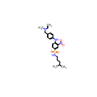 C=CN(C)Cc1ccc(Nc2ccc(S(=O)(=O)NCCCC(C)C)cc2[N+](=O)[O-])cc1